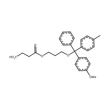 COc1ccc(C(OCCCOC(=O)CCC(=O)O)(c2ccccc2)c2ccc(C)cc2)cc1